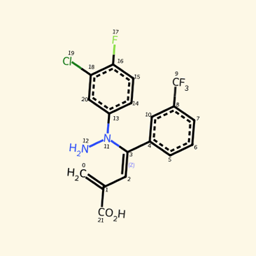 C=C(/C=C(/c1cccc(C(F)(F)F)c1)N(N)c1ccc(F)c(Cl)c1)C(=O)O